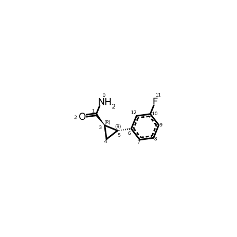 NC(=O)[C@@H]1C[C@H]1c1cccc(F)c1